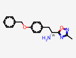 Cc1noc([C@H](N)Cc2ccc(OCc3ccccc3)cc2)n1